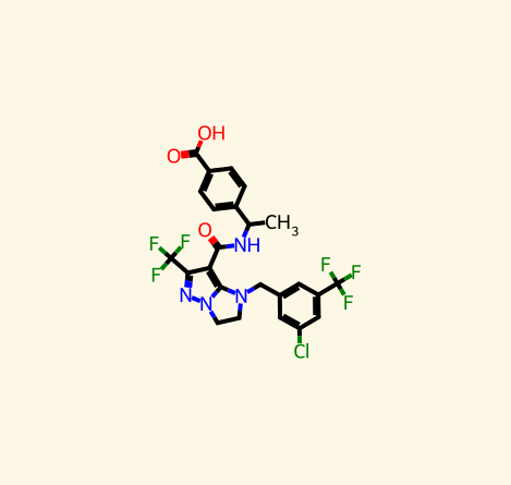 CC(NC(=O)c1c(C(F)(F)F)nn2c1N(Cc1cc(Cl)cc(C(F)(F)F)c1)CC2)c1ccc(C(=O)O)cc1